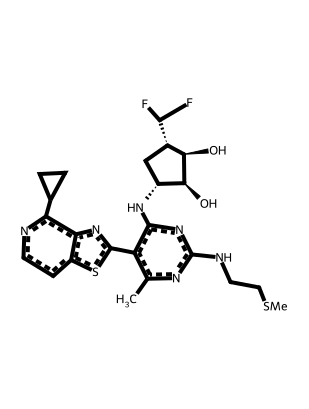 CSCCNc1nc(C)c(-c2nc3c(C4CC4)nccc3s2)c(N[C@@H]2C[C@H](C(F)F)[C@@H](O)[C@H]2O)n1